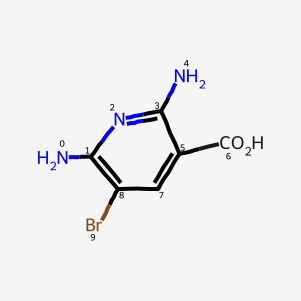 Nc1nc(N)c(C(=O)O)cc1Br